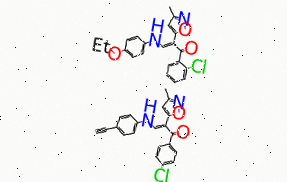 C#Cc1ccc(N/C=C(/C(=O)c2ccc(Cl)cc2)c2cc(C)no2)cc1.CCOc1ccc(N/C=C(/C(=O)c2ccccc2Cl)c2cc(C)no2)cc1